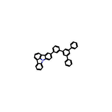 c1ccc(-c2cc(-c3ccccc3)cc(-c3cccc(-c4ccc5c(c4)c4cccc6c7ccccc7n5c64)c3)c2)cc1